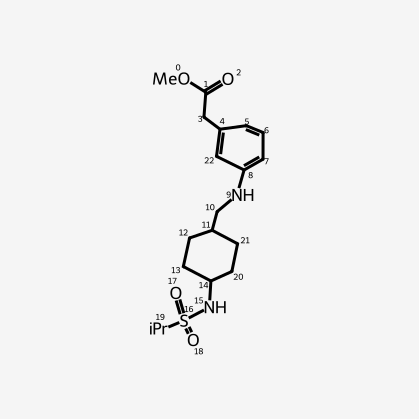 COC(=O)Cc1cccc(NCC2CCC(NS(=O)(=O)C(C)C)CC2)c1